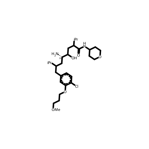 COCCCOc1cc(CC(C[C@H](N)C(O)CC(C(=O)NC2CCOCC2)C(C)C)C(C)C)ccc1Cl